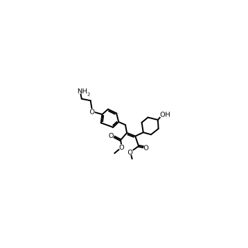 COC(=O)/C(Cc1ccc(OCCN)cc1)=C(\C(=O)OC)C1CCC(O)CC1